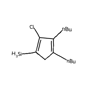 CCCCC1=C(CCCC)C(Cl)=C([SiH3])C1